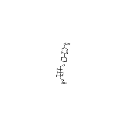 CCCCCCCCCCc1cnc(-c2ccc(OCC(F)(F)C(F)(F)C(F)(F)COCCCC)cc2)nc1